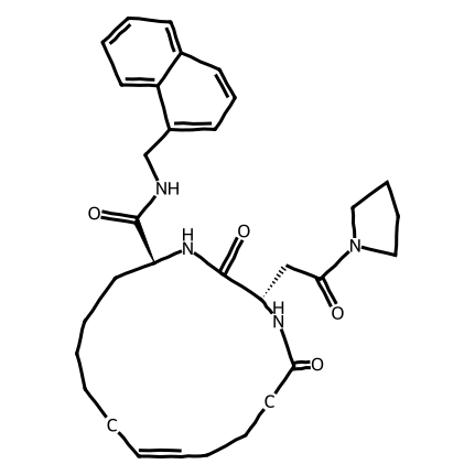 O=C1CCCC=CCCCCC[C@@H](C(=O)NCc2cccc3ccccc23)NC(=O)[C@H](CC(=O)N2CCCC2)N1